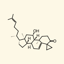 CC(C)=CCC[C@@H](C)[C@H]1CC[C@H]2[C@@H]3CC=C4C5(CC5)C(=O)CC[C@]4(C)[C@H]3[C@H](O)C[C@]12C